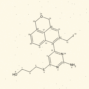 Nc1nc(SCCCO)cc(-c2c(CI)cc3c4c(cccc24)COC3)n1